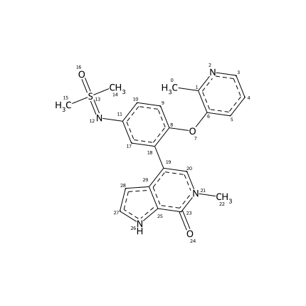 Cc1ncccc1Oc1ccc(N=S(C)(C)=O)cc1-c1cn(C)c(=O)c2[nH]ccc12